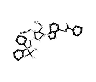 COC1[C@@H](N=[N+]=[N-])[C@@H](CO[Si](c2ccccc2)(c2ccccc2)C(C)(C)C)O[C@H]1n1cnc2c(NC(=O)c3ccccc3)ncnc21